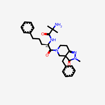 CN1N=C2CCN(C(=O)[C@@H](CCCc3ccccc3)NC(=O)C(C)(C)N)CC2(Cc2ccccc2)C1=O